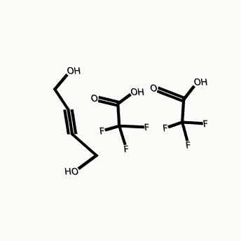 O=C(O)C(F)(F)F.O=C(O)C(F)(F)F.OCC#CCO